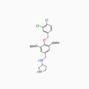 COc1cc(CNC2CCNC2)cc(OC)c1OCc1ccc(Cl)c(Cl)c1